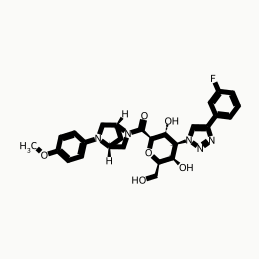 COc1ccc(N2C[C@H]3C[C@@H]2CN3C(=O)[C@@H]2O[C@H](CO)[C@H](O)[C@H](n3cc(-c4cccc(F)c4)nn3)[C@H]2O)cc1